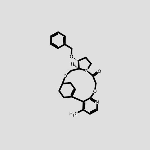 Cc1ccnc2c1C1=CCC(CC1)OC[C@H]1[C@H](OCc3ccccc3)CCN1C(=O)CO2